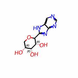 O[C@@H]1[C@H](O)COC(c2nc3ncncc3[nH]2)[C@@H]1O